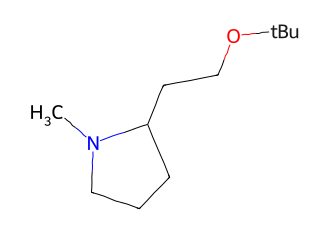 CN1CCCC1CCOC(C)(C)C